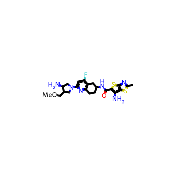 COCC1CN(c2cc(F)c3c(n2)CCC(NC(=O)c2sc4nc(C)sc4c2N)C3)CC1N